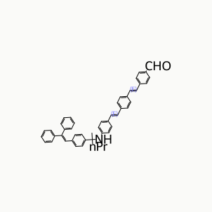 CCCC(C)(Nc1ccc(/C=C/c2ccc(/C=C/c3ccc(C=O)cc3)cc2)cc1)c1ccc(C=C(c2ccccc2)c2ccccc2)cc1